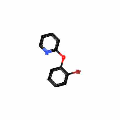 Brc1cc[c]cc1Oc1ccccn1